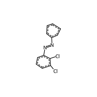 Clc1cccc(N=Nc2ccccc2)c1Cl